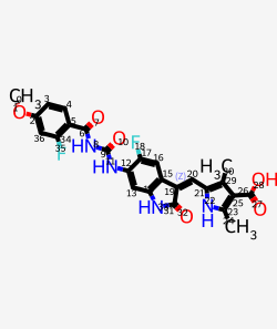 COc1ccc(C(=O)NC(=O)Nc2cc3c(cc2F)/C(=C/c2[nH]c(C)c(C(=O)O)c2C)C(=O)N3)c(F)c1